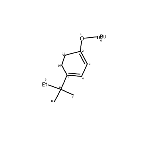 CCCCOC1=CC=C(C(C)(C)CC)C[CH]1